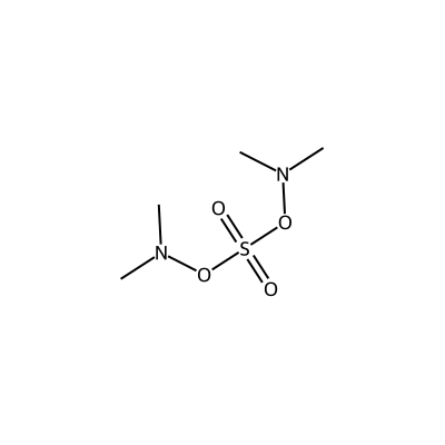 CN(C)OS(=O)(=O)ON(C)C